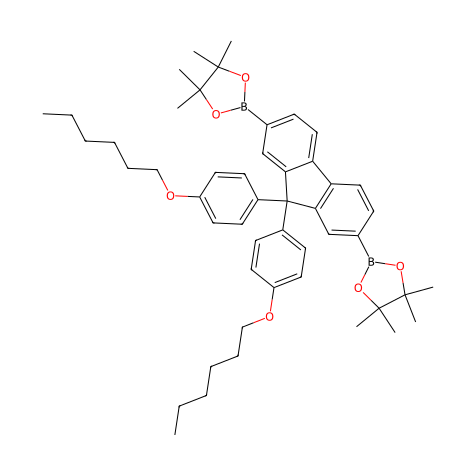 CCCCCCOc1ccc(C2(c3ccc(OCCCCCC)cc3)c3cc(B4OC(C)(C)C(C)(C)O4)ccc3-c3ccc(B4OC(C)(C)C(C)(C)O4)cc32)cc1